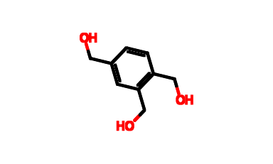 OCc1ccc(CO)c(CO)c1